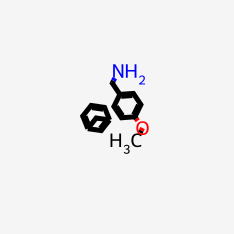 COc1ccc(CN)cc1.c1cc2cc(c1)C2